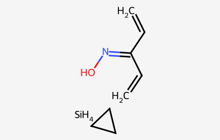 C1CC1.C=CC(C=C)=NO.[SiH4]